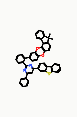 CC1(C)c2ccccc2-c2c1ccc1c2Oc2cc(-c3ccccc3-c3nc(-c4ccccc4)cc(-c4ccc5c(c4)sc4c#cccc45)n3)ccc2O1